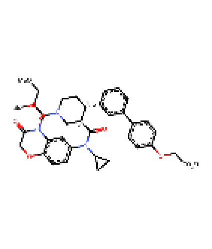 CCOC(=O)COc1ccc(-c2cccc([C@H]3CCN(C(=O)OC(C)(C)C)C[C@@H]3C(=O)N(c3ccc4c(c3)N(CCCOC)C(=O)CO4)C3CC3)c2)cc1